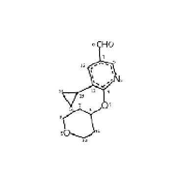 O=Cc1cnc(OC2CCOCC2)c(C2CC2)c1